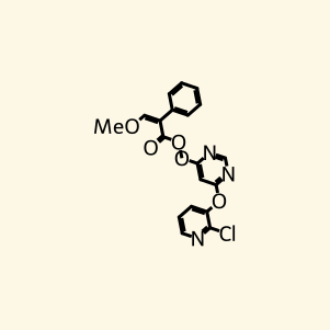 CO/C=C(\C(=O)OOc1cc(Oc2cccnc2Cl)ncn1)c1ccccc1